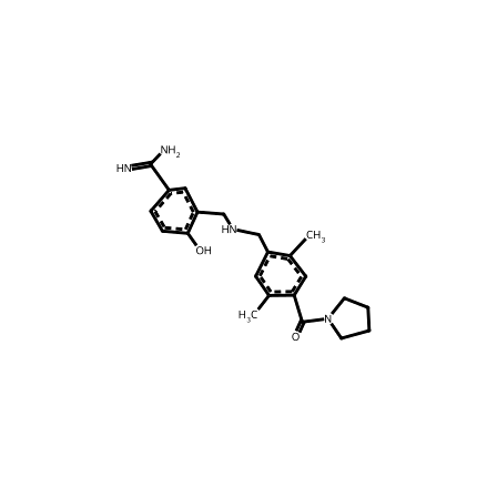 Cc1cc(C(=O)N2CCCC2)c(C)cc1CNCc1cc(C(=N)N)ccc1O